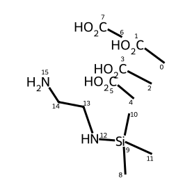 CC(=O)O.CC(=O)O.CC(=O)O.CC(=O)O.C[Si](C)(C)NCCN